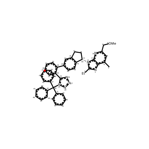 CCc1nc2c(C)cc(COC)nc2n1[C@H]1CCc2cc(-c3ccccc3-c3nnnn3C(c3ccccc3)(c3ccccc3)c3ccccc3)ccc21